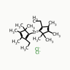 CCC1=[C]([Zr+2][C]2=C(CC)C(C)=C(C)C2(C)C)C(C)(C)C(C)=C1C.[Cl-].[Cl-]